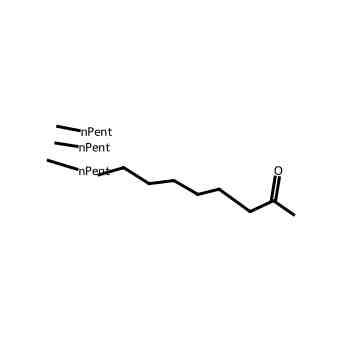 CCCCCC.CCCCCC.CCCCCC.CCCCCCCC(C)=O